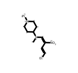 CC/C=C/C(=C\N(C)C1CCN(C(C)C)CC1)[N+](=O)[O-]